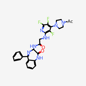 CC(=O)N1CCN(c2c(F)c(F)nc(NCC(=O)NC3N=C(c4ccccc4)c4ccccc4NC3=O)c2F)CC1